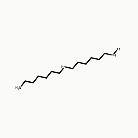 CCNCCCCCCNCCCCCCN